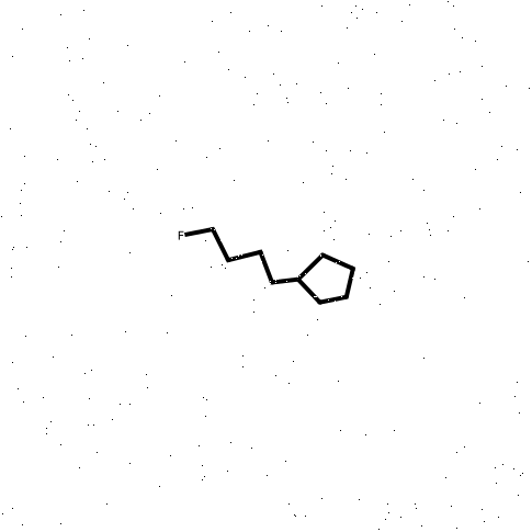 FCCCCC1CCCC1